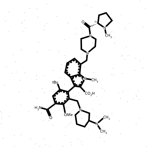 COc1c(C(N)=O)cc(C(C)(C)C)c(-c2c(C(=O)O)n(C)c3c(CN4CCN(C(=O)[C@@H]5CCCN5C)CC4)cccc23)c1CN1CCCC(N(C)C)C1